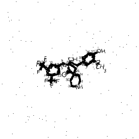 COc1cc(CCN(Cc2cc(C(F)(F)F)cc(C(F)(F)F)c2)C(=O)C2(CC(C)C)CCNCC2)ccc1O